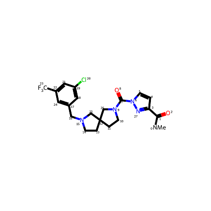 CNC(=O)c1ccn(C(=O)N2CCC3(CCN(Cc4cc(Cl)cc(C(F)(F)F)c4)C3)C2)n1